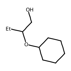 CCC(CO)OC1CCCCC1